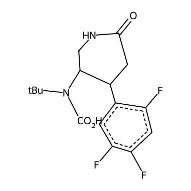 CC(C)(C)N(C(=O)O)C1CNC(=O)CC1c1cc(F)c(F)cc1F